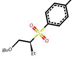 CC[C@@H](COCC(C)C)S(=O)(=O)c1ccc(C)cc1